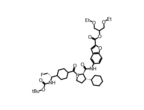 CCOCC(COCC)OC(=O)c1cc2cc(NC(=O)[C@H]3[C@H](C4CCCCC4)CCN3C(=O)C3CCC([C@@H](CF)NC(=O)OC(C)(C)C)CC3)ccc2o1